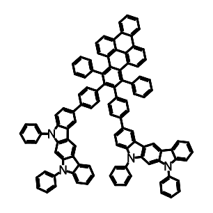 c1ccc(-c2c(-c3ccc(-c4ccc5c(c4)c4cc6c7ccccc7n(-c7ccccc7)c6cc4n5-c4ccccc4)cc3)c(-c3ccc(-c4ccc5c(c4)c4cc6c7ccccc7n(-c7ccccc7)c6cc4n5-c4ccccc4)cc3)c(-c3ccccc3)c3c4cccc5c6ccccc6c6cccc(c23)c6c54)cc1